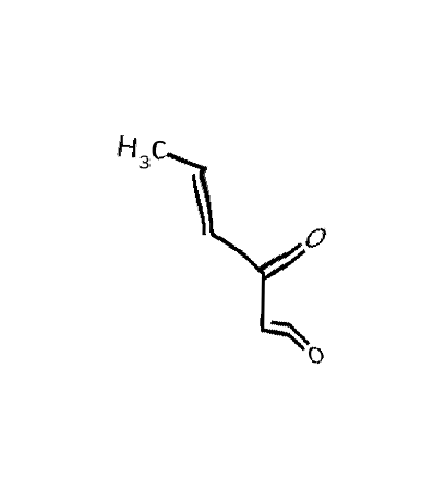 C/C=C/C(=O)C=O